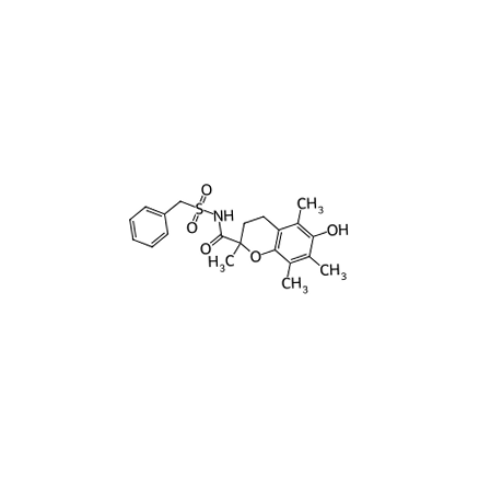 Cc1c(C)c2c(c(C)c1O)CCC(C)(C(=O)NS(=O)(=O)Cc1ccccc1)O2